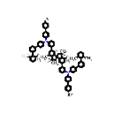 Cc1cccc(C)c1-c1cccc(-c2ccc(N(c3ccc(-c4ccc(C(C)C)cc4)cc3)c3cccc(-c4cc(C)c5c(c4)C4(CC5(C)C)CC(C)(C)c5c(C)cc(-c6cccc(N(c7ccc(-c8ccc(C(C)C)cc8)cc7)c7ccc(-c8cccc(-c9c(C)cccc9C)c8)cc7)c6)cc54)c3)cc2)c1